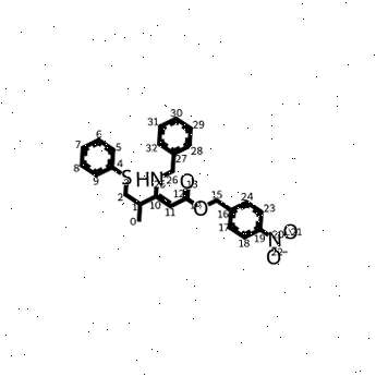 CC(CSc1ccccc1)/C(=C/C(=O)OCc1ccc([N+](=O)[O-])cc1)NCc1ccccc1